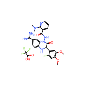 COc1cc(F)c(C(Nc2ccc(C(=N)N)cc2)C(=O)NNC(=O)c2cccnc2N(C)C)cc1OC.O=C(O)C(F)(F)F